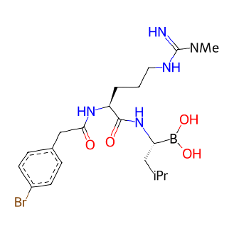 CNC(=N)NCCC[C@H](NC(=O)Cc1ccc(Br)cc1)C(=O)N[C@@H](CC(C)C)B(O)O